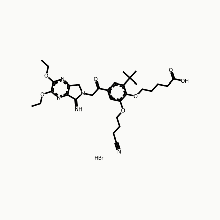 Br.CCOc1nc2c(nc1OCC)C(=N)N(CC(=O)c1cc(OCCCC#N)c(OCCCCC(=O)O)c(C(C)(C)C)c1)C2